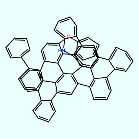 c1ccc(-c2ccccc2-c2ccc3oc4ccccc4c3c2-c2c(-c3cccc4c3[nH]c3ccccc34)c(-c3cccc4c5ccccc5c5ccccc5c34)cc3c4ccccc4c4ccccc4c23)cc1